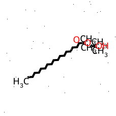 CCCCCCCCCCCCCCCCCC(=O)C(C)(C)OCC(C)(C)O